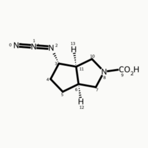 [N-]=[N+]=N[C@H]1CC[C@@H]2CN(C(=O)O)C[C@@H]21